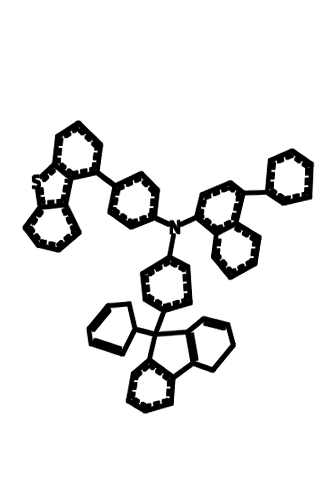 C1=CCC(C2(c3ccc(N(c4ccc(-c5cccc6sc7ccccc7c56)cc4)c4ccc(-c5ccccc5)c5ccccc45)cc3)C3=C(CCC=C3)c3ccccc32)C=C1